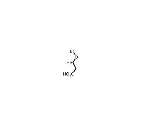 CCOCCC(=O)O.[Fe]